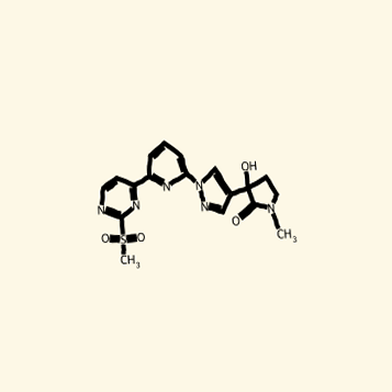 CN1CCC(O)(c2cnn(-c3cccc(-c4ccnc(S(C)(=O)=O)n4)n3)c2)C1=O